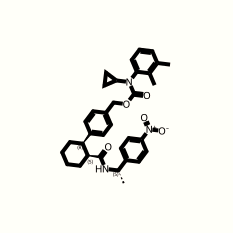 Cc1cccc(N(C(=O)OCc2ccc([C@@H]3CCCC[C@@H]3C(=O)N[C@@H](C)c3ccc([N+](=O)[O-])cc3)cc2)C2CC2)c1C